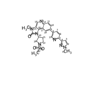 Cn1ccc(-c2ccc(-c3ccc4ncc5c(c4c3)n(C3CCN(S(C)(=O)=O)C3)c(=O)n5C)cn2)n1